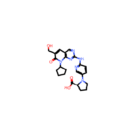 O=C(O)[C@@H]1CCCN1c1ccc(Nc2ncc3cc(CO)c(=O)n(C4CCCC4)c3n2)nc1